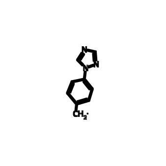 [CH2]c1ccc(-n2cncn2)cc1